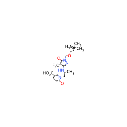 CC(Cn1cc(C(=O)O)ccc1=O)Nc1cnn(COCC[Si](C)(C)C)c(=O)c1C(F)(F)F